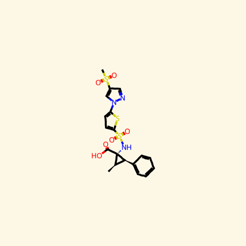 C[C@@H]1[C@H](c2ccccc2)[C@]1(NS(=O)(=O)c1ccc(-n2cc(S(C)(=O)=O)cn2)s1)C(=O)O